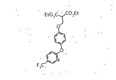 CCOC(=O)C(COc1ccc(Oc2ccc(C(F)(F)F)cn2)cc1)C(=O)OCC